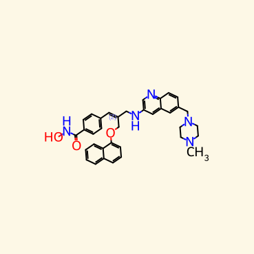 CN1CCN(Cc2ccc3ncc(NC/C(=C/c4ccc(C(=O)NO)cc4)COc4cccc5ccccc45)cc3c2)CC1